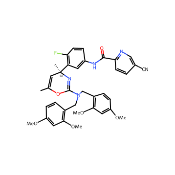 COc1ccc(CN(Cc2ccc(OC)cc2OC)C2=N[C@](C)(c3cc(NC(=O)c4ccc(C#N)cn4)ccc3F)C=C(C)O2)c(OC)c1